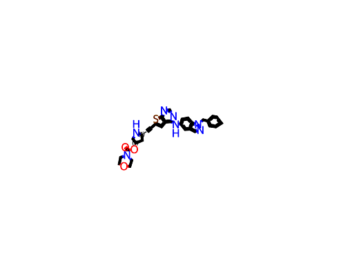 O=C(O[C@@H]1CN[C@H](C#Cc2cc3c(Nc4ccc5c(cnn5Cc5ccccc5)c4)ncnc3s2)C1)N1CCOCC1